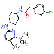 Cc1cnc(NC2CCC(NC(=O)Cc3ccc(Cl)cc3)CC2)nc1N(C)C